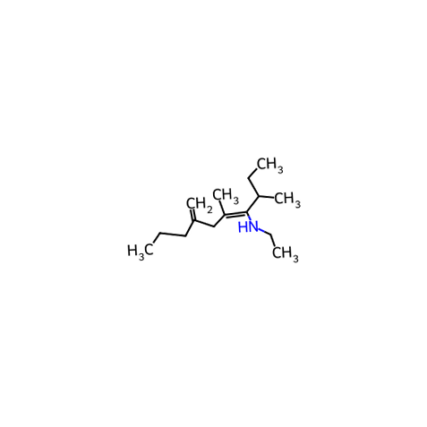 C=C(CCC)C/C(C)=C(\NCC)C(C)CC